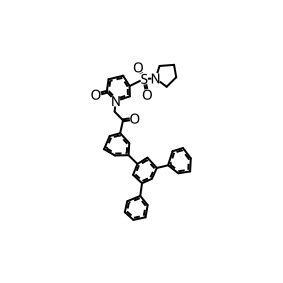 O=C(Cn1cc(S(=O)(=O)N2CCCC2)ccc1=O)c1cccc(-c2cc(-c3ccccc3)cc(-c3ccccc3)c2)c1